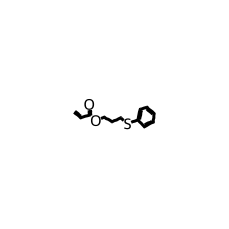 C=CC(=O)OCCCSc1ccccc1